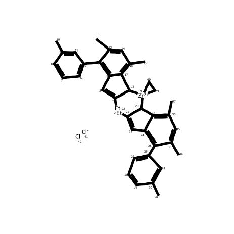 CCC1=Cc2c(-c3cccc(C)c3)c(C)cc(C)c2[CH]1[Zr+2]1([CH]2C(CC)=Cc3c(-c4cccc(C)c4)c(C)cc(C)c32)[CH2][CH2]1.[Cl-].[Cl-]